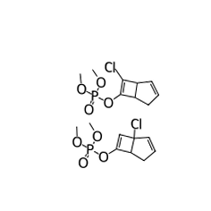 COP(=O)(OC)OC1=C(Cl)C2C=CCC12.COP(=O)(OC)OC1=CC2(Cl)C=CCC12